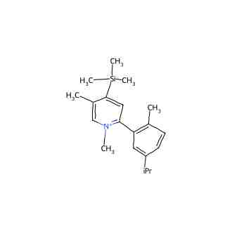 Cc1ccc(C(C)C)cc1-c1cc([Si](C)(C)C)c(C)c[n+]1C